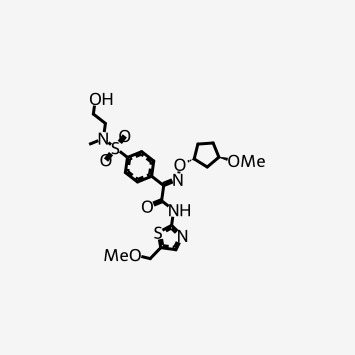 COCc1cnc(NC(=O)/C(=N/O[C@@H]2CC[C@@H](OC)C2)c2ccc(S(=O)(=O)N(C)CCO)cc2)s1